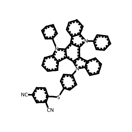 N#Cc1ccc(Sc2ccc(-n3c4ccccc4c4c5c(c6ccccc6n5-c5ccccc5)c5c(c6ccccc6n5-c5ccccc5)c43)cc2)c(C#N)c1